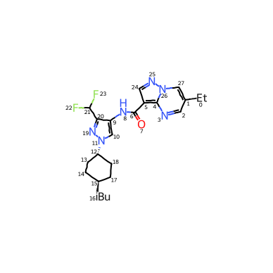 CCc1cnc2c(C(=O)Nc3cn([C@H]4CC[C@H](C(C)CC)CC4)nc3C(F)F)cnn2c1